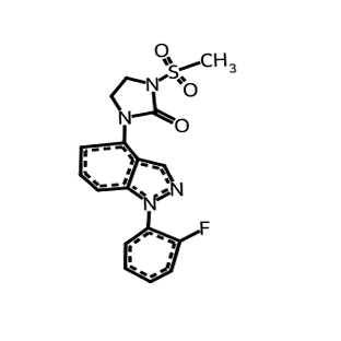 CS(=O)(=O)N1CCN(c2cccc3c2cnn3-c2ccccc2F)C1=O